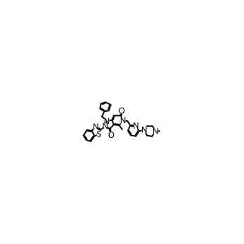 Cc1c2c(=O)n(-c3nc4ccccc4s3)n(Cc3ccccc3)c2cc(=O)n1Cc1cccc(N2CCN(C)CC2)n1